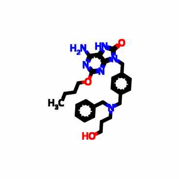 CCCCOc1nc(N)c2[nH]c(=O)n(Cc3ccc(CN(CCCO)Cc4ccccc4)cc3)c2n1